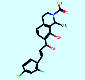 CC1c2c(ccc(C(O)/C=C/c3ccc(Cl)cc3F)c2O)CCN1C(=O)O